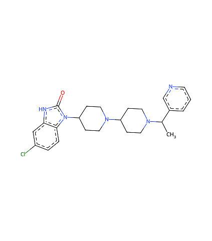 CC(c1cccnc1)N1CCC(N2CCC(n3c(=O)[nH]c4cc(Cl)ccc43)CC2)CC1